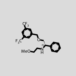 COCCN[C@H](COCc1cc(C(F)(F)F)cc(C(F)(F)F)c1)c1ccccc1